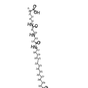 C[C@@H](CCCCNC(=O)CCNCCC(=O)NCCCCCCCCCCCCCCC(=O)O)C(=O)O